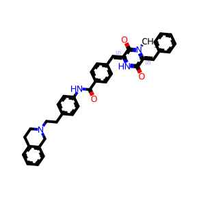 Cn1c(=O)/c(=C/c2ccc(C(=O)Nc3ccc(CCN4CCc5ccccc5C4)cc3)cc2)[nH]c(=O)/c1=C/c1ccccc1